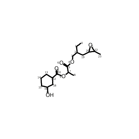 CCC(COC(=O)C(C)OC(=O)C1CCCC(O)C1)CC1OC1C